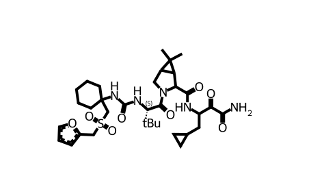 CC1(C)C2CN(C(=O)[C@@H](NC(=O)NC3(CS(=O)(=O)Cc4ccco4)CCCCC3)C(C)(C)C)C(C(=O)NC(CC3CC3)C(=O)C(N)=O)C21